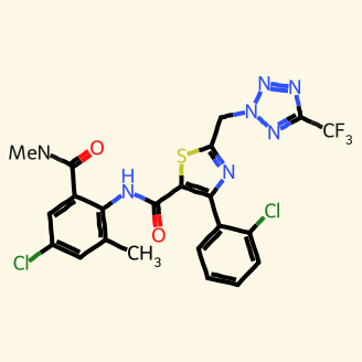 CNC(=O)c1cc(Cl)cc(C)c1NC(=O)c1sc(Cn2nnc(C(F)(F)F)n2)nc1-c1ccccc1Cl